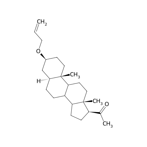 C=CCO[C@H]1CC[C@]2(C)C3CC[C@@]4(C)C(CC[C@@H]4C(C)=O)C3CC[C@H]2C1